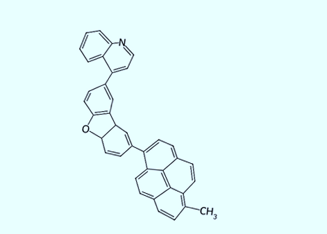 Cc1ccc2ccc3c(C4=CC5c6cc(-c7ccnc8ccccc78)ccc6OC5C=C4)ccc4ccc1c2c43